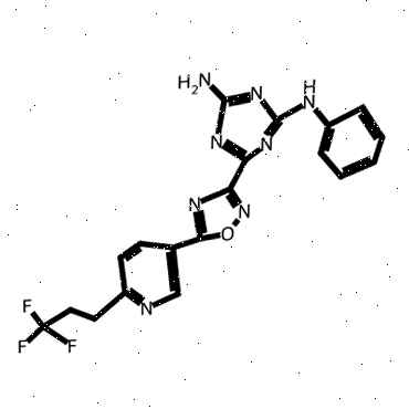 Nc1nc(Nc2ccccc2)nc(-c2noc(-c3ccc(CCC(F)(F)F)nc3)n2)n1